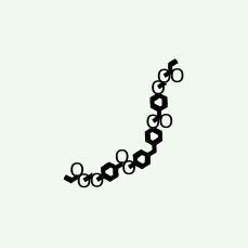 C=CC(=O)OCOc1ccc(C(=O)Oc2ccc(Cc3ccc(OC(=O)c4ccc(OCOC(=O)C=C)cc4)cc3)cc2)cc1